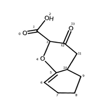 O=C(O)C1OC2=CCCCC2CC1=O